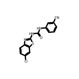 N#Cc1cccc(NC(=O)Nc2nc3ccc(Cl)cc3s2)c1